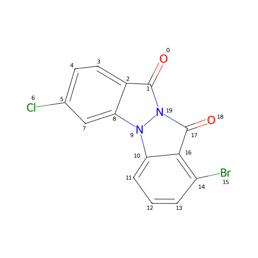 O=c1c2ccc(Cl)cc2n2c3cccc(Br)c3c(=O)n12